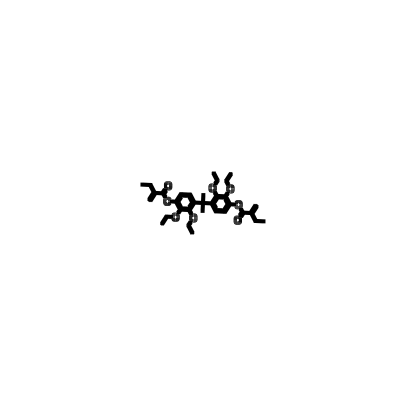 C=C(CC)C(=O)Oc1ccc(C(C)(C)c2ccc(OC(=O)C(=C)CC)c(OCC)c2OCC)c(OCC)c1OCC